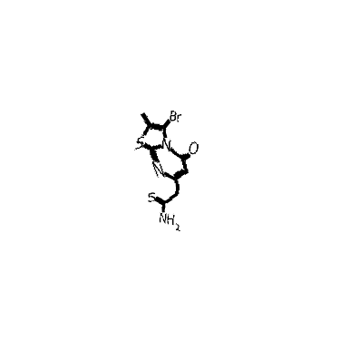 Cc1sc2nc(CC(N)=S)cc(=O)n2c1Br